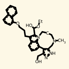 CCOC(O)c1c(CCCOc2cccc3ccccc23)c2cccc3c2n1CCCN(C)Cc1[nH]nc(CO)c1-3